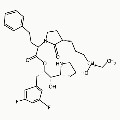 CCCC[C@H]1CCN(C(CCc2ccccc2)C(=O)O[C@@H](Cc2cc(F)cc(F)c2)[C@@H](O)[C@H]2C[C@@H](OCCC)CN2)C1=O